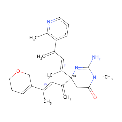 C=C(/C=C(\C)[C@]1(C(=C)/C=C(\C)C2=CCCOC2)CC(=O)N(C)C(N)=N1)c1cccnc1C